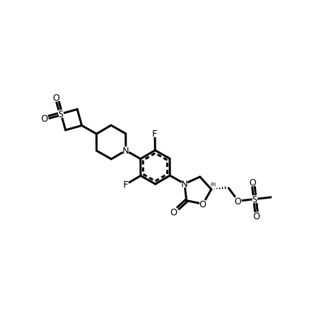 CS(=O)(=O)OC[C@H]1CN(c2cc(F)c(N3CCC(C4CS(=O)(=O)C4)CC3)c(F)c2)C(=O)O1